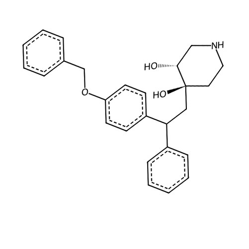 O[C@@H]1CNCC[C@]1(O)CC(c1ccccc1)c1ccc(OCc2ccccc2)cc1